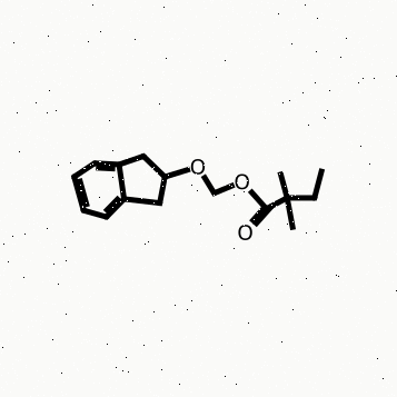 CCC(C)(C)C(=O)OCOC1Cc2ccccc2C1